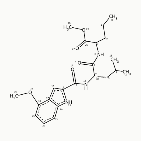 CCCC(NC(=O)[C@H](CC(C)C)NC(=O)c1cc2c(OC)cccc2[nH]1)C(=O)OC